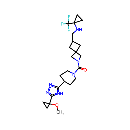 COC1(c2nnc(C3CCN(C(=O)N4CC5(CC(CNC6(C(F)(F)F)CC6)C5)C4)CC3)[nH]2)CC1